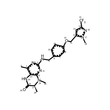 Cc1nc(NCc2ccc(OCc3cc(C(F)(F)F)nn3C)cc2)nc2c1NC(=O)[C@H](C)N2C